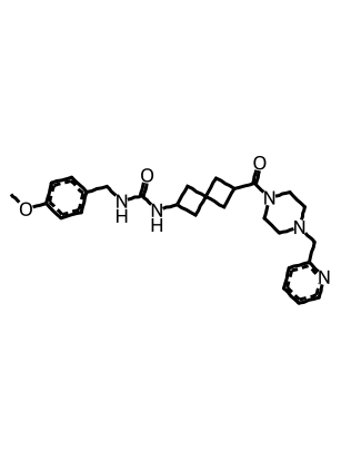 COc1ccc(CNC(=O)NC2CC3(C2)CC(C(=O)N2CCN(Cc4ccccn4)CC2)C3)cc1